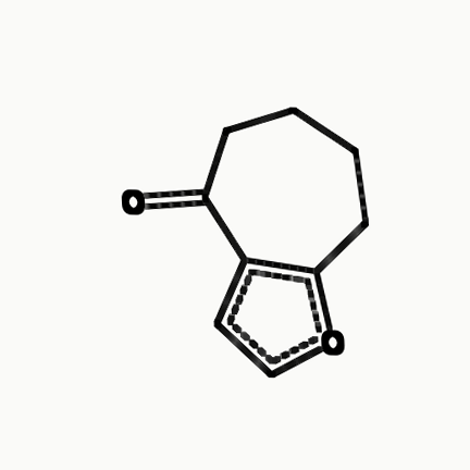 O=C1CCCCc2occc21